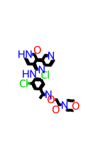 CC(=NOCC(=O)N1CCOCC1)c1cc(Cl)c(Nc2nc3ccncc3c3c(=O)[nH]ccc23)c(Cl)c1